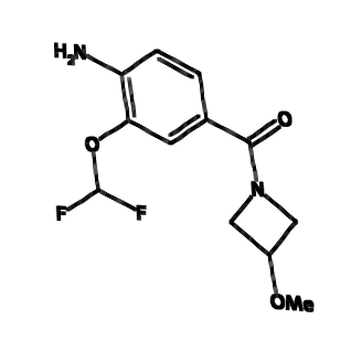 COC1CN(C(=O)c2ccc(N)c(OC(F)F)c2)C1